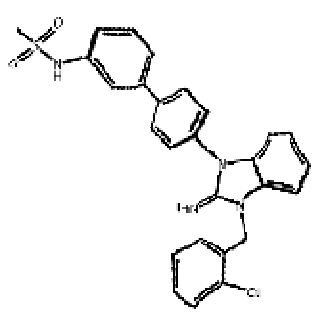 CS(=O)(=O)Nc1cccc(-c2ccc(-n3c(=N)n(Cc4ccccc4Cl)c4ccccc43)cc2)c1